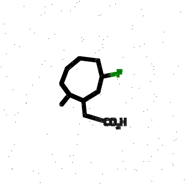 CC1CCCCC(F)CC1CC(=O)O